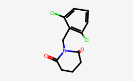 O=C1CCCC(=O)N1Cc1c(Cl)cccc1Cl